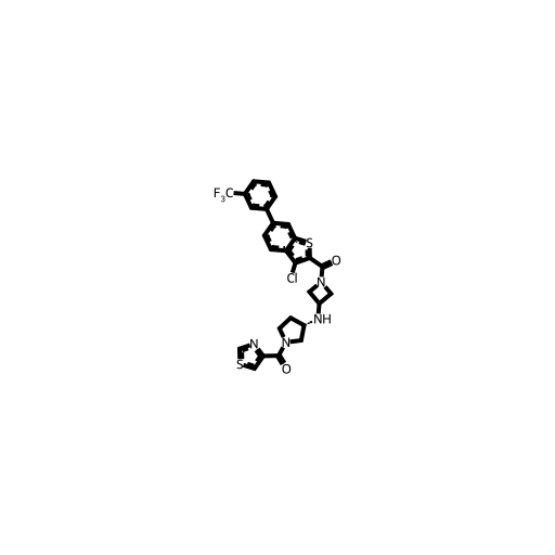 O=C(c1cscn1)N1CC[C@H](NC2CN(C(=O)c3sc4cc(-c5cccc(C(F)(F)F)c5)ccc4c3Cl)C2)C1